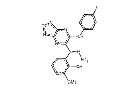 COc1cccc(C(=NN)c2nc3nonc3nc2Nc2ccc(F)cc2)c1O